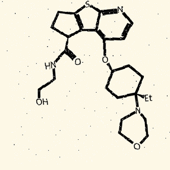 CC[C@]1(N2CCOCC2)CC[C@H](Oc2ccnc3sc4c(c23)[C@@H](C(=O)NCCO)CC4)CC1